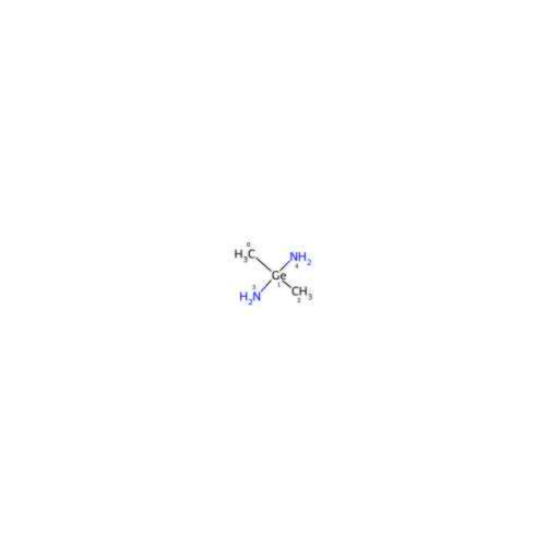 [CH3][Ge]([CH3])([NH2])[NH2]